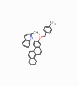 Cc1ccc2ccccc2n1.FC(F)(F)c1ccc(COc2ccc3c(ccc4c5c(ccc43)CCCC5)c2)cc1